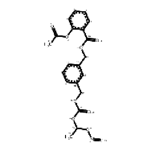 CC(=O)Oc1ccccc1C(=O)OCc1cccc(COC(=O)OC(C)ON=O)c1